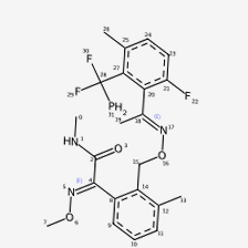 CNC(=O)/C(=N/OC)c1cccc(C)c1CO/N=C(\C)c1c(F)ccc(C)c1C(F)(F)P